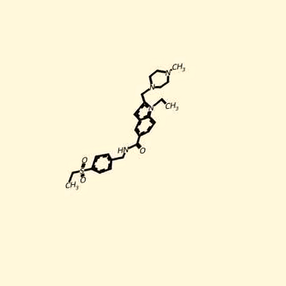 CCn1c(CN2CCN(C)CC2)cc2cc(C(=O)NCc3ccc(S(=O)(=O)CC)cc3)ccc21